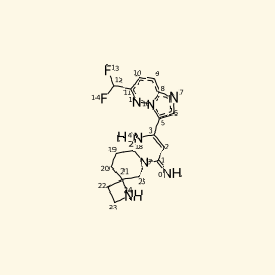 N=C(/C=C(\N)c1cnc2ccc(C(F)F)nn12)N1CCCC2(CCN2)C1